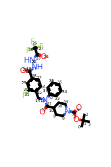 CC(C)(C)OC(=O)N1CCC(C(=O)N(Cc2ccc(C(=O)NNC(=O)C(F)(F)F)cc2F)c2ccccc2)CC1